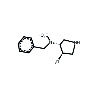 N[C@@H]1CNC[C@H]1N(Cc1ccccc1)C(=O)O